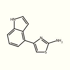 Nc1nc(-c2cccc3[nH]ccc23)cs1